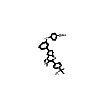 CC(=O)Nc1ccc(Nc2cccc(-c3ccc4nc(-c5ccc(C(C)(C)C#N)cc5)c5[nH]ncc5c4c3)c2)cc1